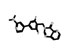 CN(C)c1cc(-c2cc(F)c(Cn3cnc4cccnc4c3=O)c(F)c2)ccn1